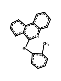 Cc1ccccc1Nc1nc2ccccc2c2ccccc12